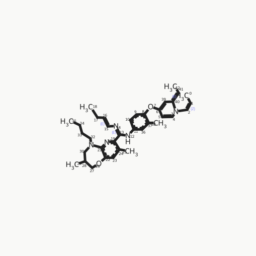 C/C=C\N1C=CC(Oc2ccc(N/C(=N/C=C/CC)c3nc4c(cc3C)OCC(C)CN4CCCC)cc2C)=C/C1=C\C